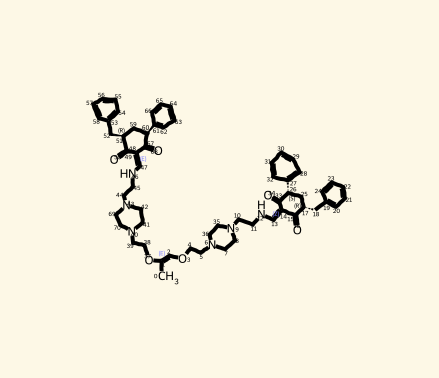 C/C(=C\OCCN1CCN(CCN/C=C2/C(=O)[C@@H](Cc3ccccc3)C[C@@H](c3ccccc3)C2=O)CC1)OCCN1CCN(CCN/C=C2\C(=O)[C@@H](Cc3ccccc3)C[C@@H](c3ccccc3)C2=O)CC1